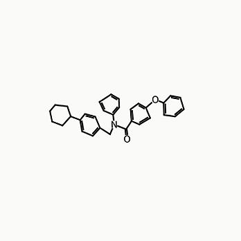 O=C(c1ccc(Oc2ccccc2)cc1)N(Cc1ccc(C2CCCCC2)cc1)c1ccccc1